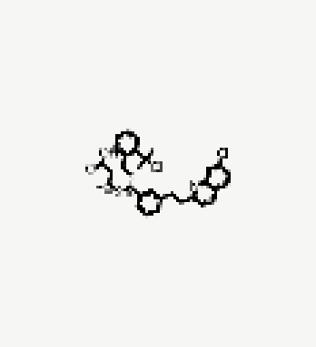 C[C@@H](CC(=O)O)S[C@H](CCc1ccccc1C(C)(C)O)c1cccc(CCc2ccc3ccc(Cl)cc3n2)c1